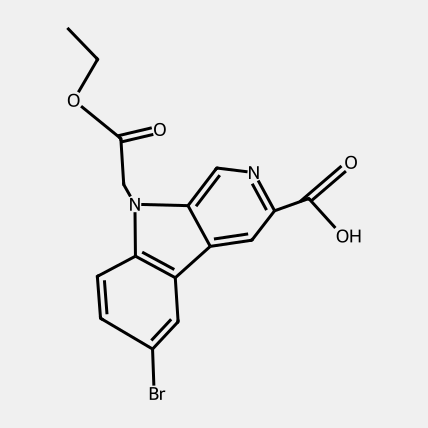 CCOC(=O)Cn1c2ccc(Br)cc2c2cc(C(=O)O)ncc21